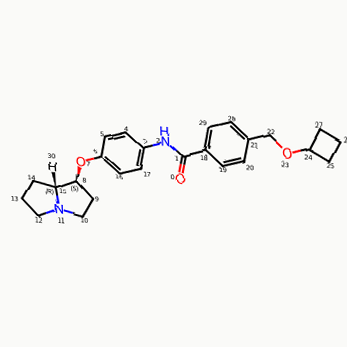 O=C(Nc1ccc(O[C@H]2CCN3CCC[C@H]23)cc1)c1ccc(COC2CCC2)cc1